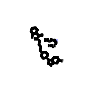 O=C(NCCCCN1CCN(c2csc3cc(F)ccc23)CC1)C1=CC=CCC1=S.O=C(O)/C=C\C(=O)O